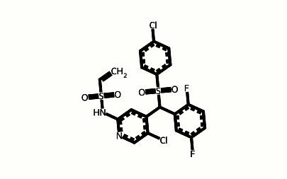 C=CS(=O)(=O)Nc1cc(C(c2cc(F)ccc2F)S(=O)(=O)c2ccc(Cl)cc2)c(Cl)cn1